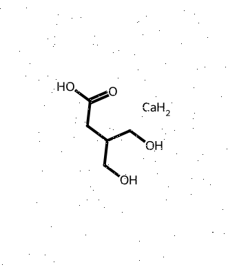 O=C(O)CC(CO)CO.[CaH2]